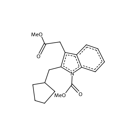 COC(=O)Cc1c(CC2CCCC2)n(C(=O)OC)c2ccccc12